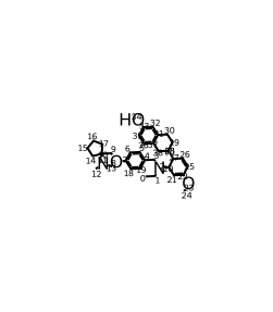 CCN(Cc1ccc(OCC2(N(C)C)CCCC2)cc1)C1C=C(OC)C=CC1[C@@H]1CCc2cc(O)ccc2C1